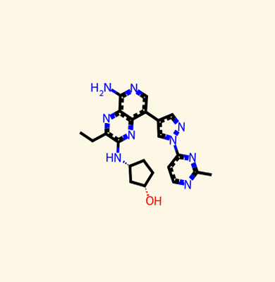 CCc1nc2c(N)ncc(-c3cnn(-c4ccnc(C)n4)c3)c2nc1N[C@@H]1CC[C@H](O)C1